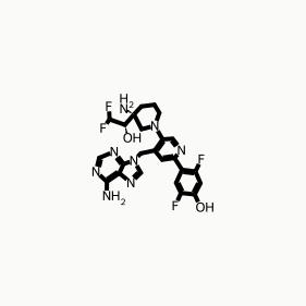 Nc1ncnc2c1ncn2Cc1cc(-c2cc(F)c(O)cc2F)ncc1N1CCC[C@](N)([C@H](O)C(F)F)C1